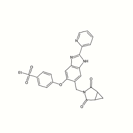 CCS(=O)(=O)c1ccc(Oc2cc3nc(-c4ccccn4)[nH]c3cc2CN2C(=O)C3CC3C2=O)cc1